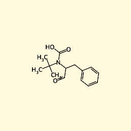 CC(C)(C)N(C(=O)O)C(C=O)Cc1ccccc1